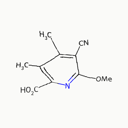 COc1nc(C(=O)O)c(C)c(C)c1C#N